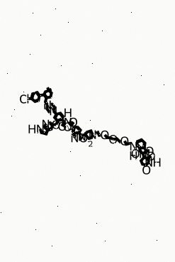 CN(c1ccc(S(=O)(=O)NC(=O)c2ccc(N3CCN(CC4=C(c5ccc(Cl)cc5)CC(C)(C)CC4)CC3)cc2Oc2cnc3[nH]ccc3c2)cc1[N+](=O)[O-])C1CCN(CCOCCOCCOCCNc2cccc3c2C(=O)N(C2CCC(=O)NC2=O)C3=O)CC1